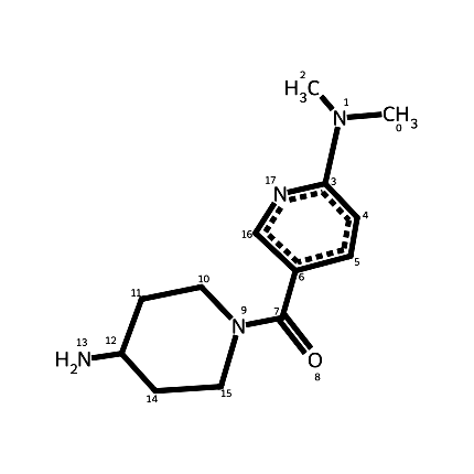 CN(C)c1ccc(C(=O)N2CCC(N)CC2)cn1